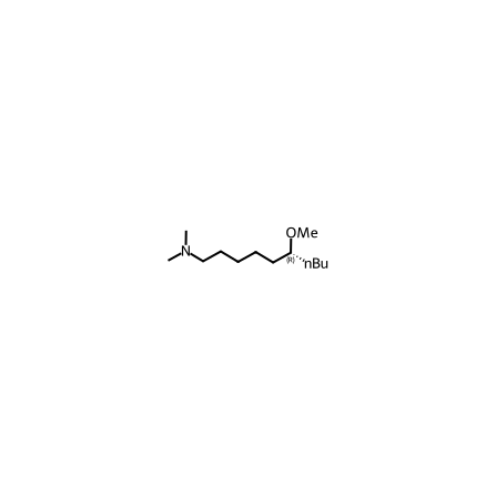 CCCC[C@H](CCCCCN(C)C)OC